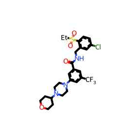 CCS(=O)(=O)c1ccc(Cl)cc1CNC(=O)c1cc(N2CCN(C3CCOCC3)CC2)cc(C(F)(F)F)c1